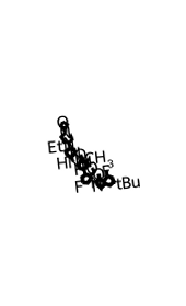 CCC1CN(C2COC2)CCN1c1ccc(Nc2cc(-c3cc(F)cc(-n4ncc5cc(C(C)(C)C)cc(F)c5c4=O)c3CO)cn(C)c2=O)nc1